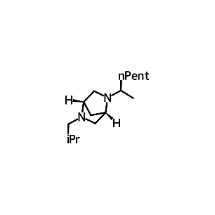 CCCCCC(C)N1C[C@@H]2C[C@H]1CN2CC(C)C